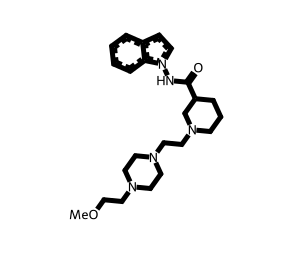 COCCN1CCN(CCN2CCCC(C(=O)Nn3ccc4ccccc43)C2)CC1